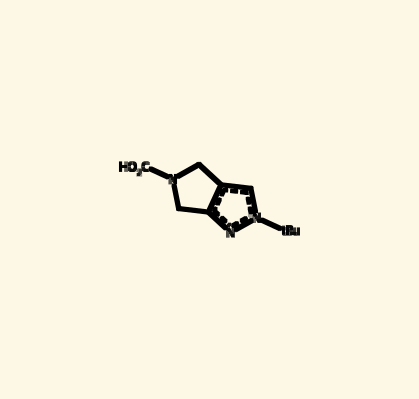 CC(C)(C)n1cc2c(n1)CN(C(=O)O)C2